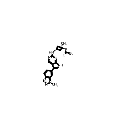 CCC(=O)N[C@]1(C)C[C@@H](Nc2ncc3c(-c4ccc5nnn(C)c5c4)c[nH]c3n2)C1